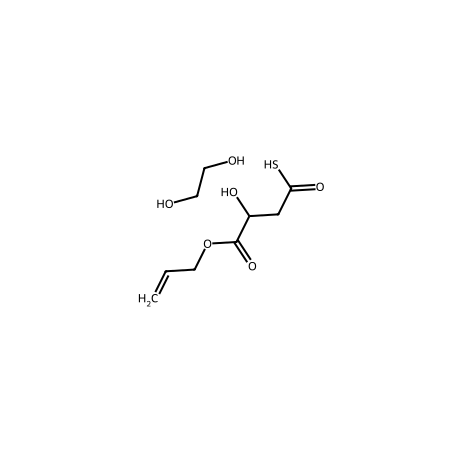 C=CCOC(=O)C(O)CC(=O)S.OCCO